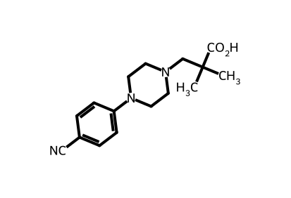 CC(C)(CN1CCN(c2ccc(C#N)cc2)CC1)C(=O)O